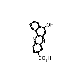 O=C(O)c1ccc2nc3c(cc(O)c4ccccc43)nc2c1